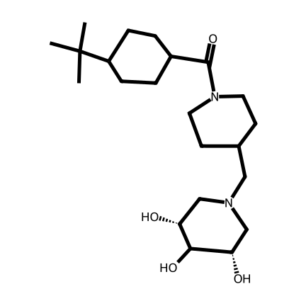 CC(C)(C)C1CCC(C(=O)N2CCC(CN3C[C@@H](O)C(O)[C@@H](O)C3)CC2)CC1